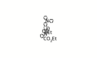 CCOC(=O)c1ccccc1N=C1OC(Cc2ccc(N(c3ccccc3)c3ccccc3)cc2)C(=O)N1CC